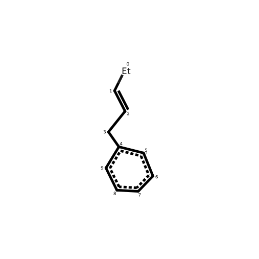 CCC=CCc1[c]cccc1